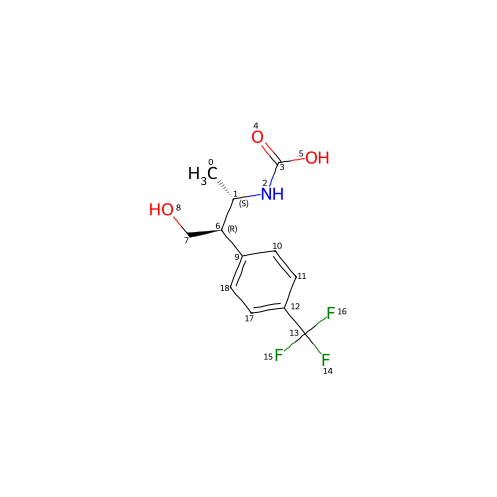 C[C@H](NC(=O)O)[C@H](CO)c1ccc(C(F)(F)F)cc1